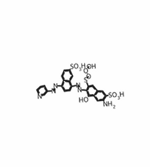 Nc1cc2c(O)c(N=Nc3ccc(N=Nc4cccnc4)c4ccc(S(=O)(=O)O)cc34)c(SOOO)cc2cc1S(=O)(=O)O